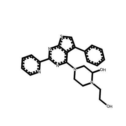 OCCN1CCN(c2nc(-c3ccccn3)nc3scc(-c4ccccc4)c23)CC1O